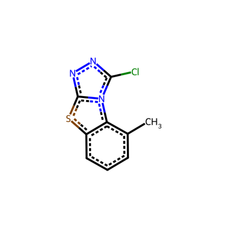 Cc1cccc2sc3nnc(Cl)n3c12